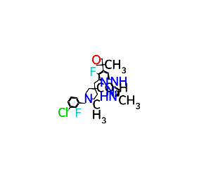 Cc1cc(Nc2cc(C3(C)COC3)c(F)c(C[C@@]3(C(=O)O)CCN(Cc4cccc(Cl)c4F)[C@H](C)C3)n2)n[nH]1